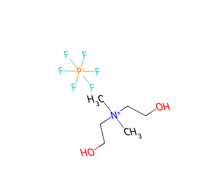 C[N+](C)(CCO)CCO.F[P-](F)(F)(F)(F)F